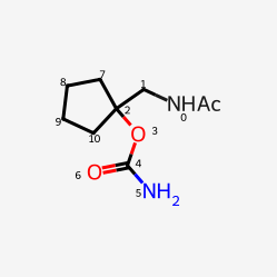 CC(=O)NCC1(OC(N)=O)CCCC1